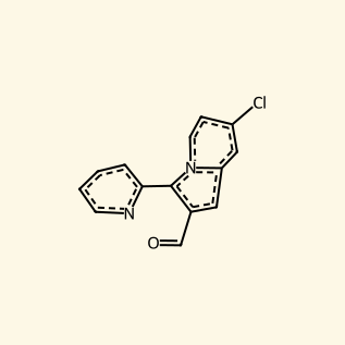 O=Cc1cc2cc(Cl)ccn2c1-c1ccccn1